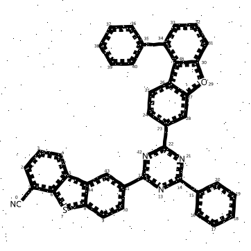 N#Cc1cccc2c1sc1ccc(-c3nc(-c4ccccc4)nc(-c4ccc5c(c4)oc4cccc(-c6ccccc6)c45)n3)cc12